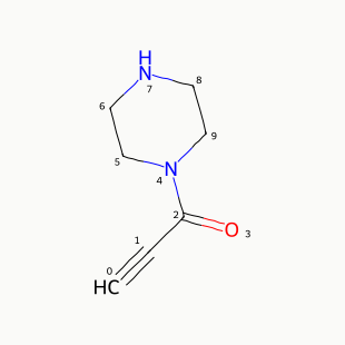 C#CC(=O)N1CCNCC1